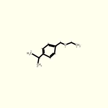 [CH2]COCc1ccc(C(C)C)cc1